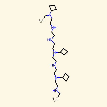 CCNCCN(CCNCCN(CCNCCNCCN(CC)C1CCC1)C1CCC1)C1CCC1